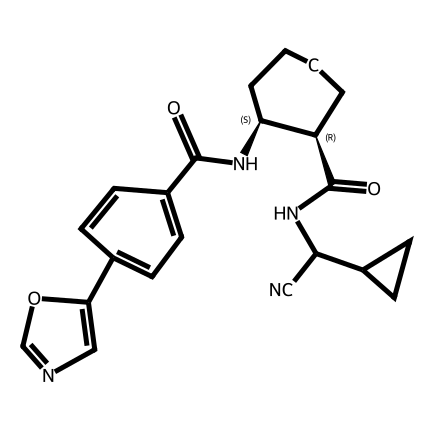 N#CC(NC(=O)[C@@H]1CCCC[C@@H]1NC(=O)c1ccc(-c2cnco2)cc1)C1CC1